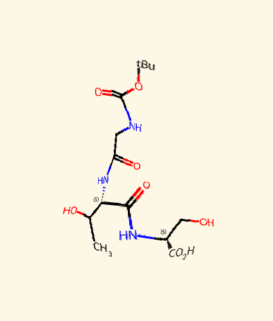 CC(O)[C@H](NC(=O)CNC(=O)OC(C)(C)C)C(=O)N[C@@H](CO)C(=O)O